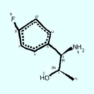 C[C@@H](O)[C@H](N)c1ccc(F)cc1